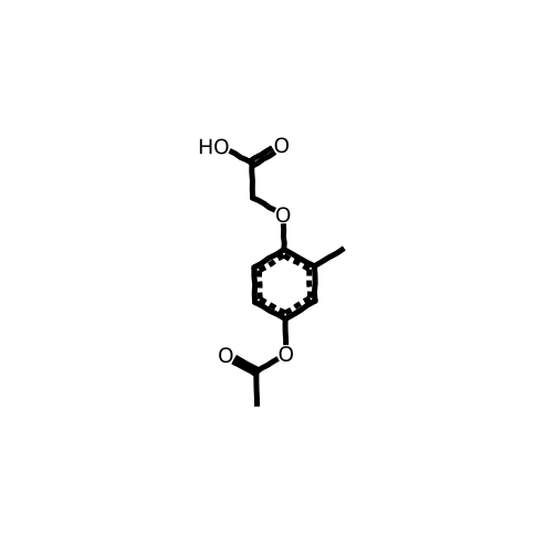 CC(=O)Oc1ccc(OCC(=O)O)c(C)c1